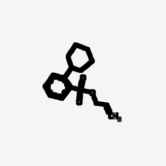 C=CCOS(=O)(=O)c1ccccc1C1CCCCC1